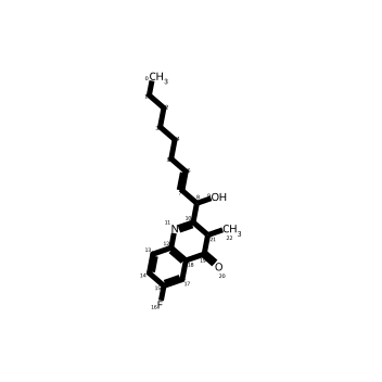 CCCCCCC=CC(O)C1=Nc2ccc(F)cc2C(=O)C1C